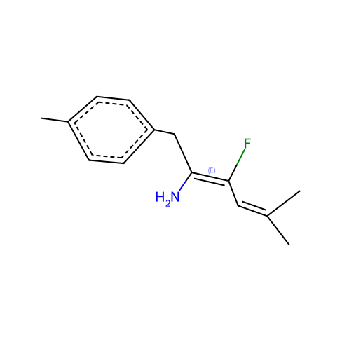 CC(C)=C/C(F)=C(\N)Cc1ccc(C)cc1